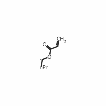 C=CC(=O)O[CH]CCC